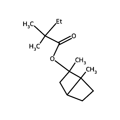 CCC(C)(C)C(=O)OC1(C)CC2CCC21C